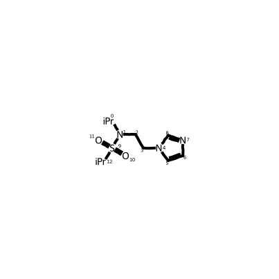 CC(C)N(CCn1ccnc1)S(=O)(=O)C(C)C